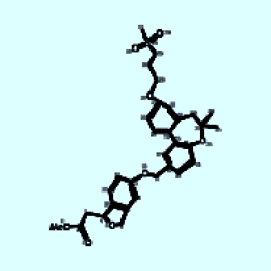 COC(=O)CC1OCc2cc(OCc3ccc4c(c3)-c3ccc(OCCCS(C)(=O)=O)cc3CC(C)(C)O4)ccc21